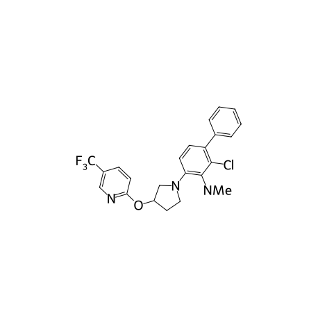 CNc1c(N2CCC(Oc3ccc(C(F)(F)F)cn3)C2)ccc(-c2ccccc2)c1Cl